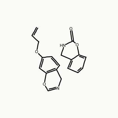 C=CCOc1ccc2c(c1)OC=NC2.O=C1NCc2ccccc2O1